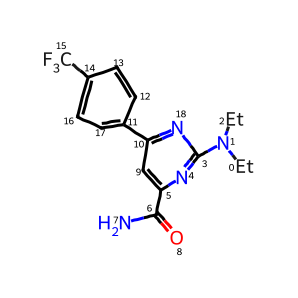 CCN(CC)c1nc(C(N)=O)cc(-c2ccc(C(F)(F)F)cc2)n1